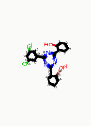 Oc1ccccc1-c1nc(-c2cc(Cl)cc(Cl)c2)nc(-c2ccccc2O)n1